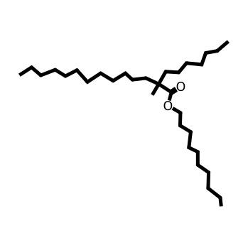 CCCCCCCCCCCCC(C)(CCCCCCC)C(=O)OCCCCCCCCCC